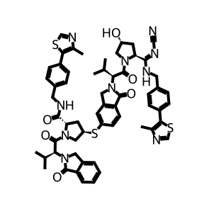 Cc1ncsc1-c1ccc(CNC(=O)[C@@H]2C[C@@H](Sc3ccc4c(c3)CN([C@H](C(=O)N3C[C@H](O)C[C@H]3/C(=N\C#N)NCc3ccc(-c5scnc5C)cc3)C(C)C)C4=O)CN2C(=O)[C@H](C(C)C)N2Cc3ccccc3C2=O)cc1